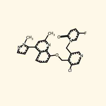 Cc1cc(-c2ccnn2C)c2cccc(OCc3c(Cl)cncc3Cn3cc(F)ccc3=O)c2n1